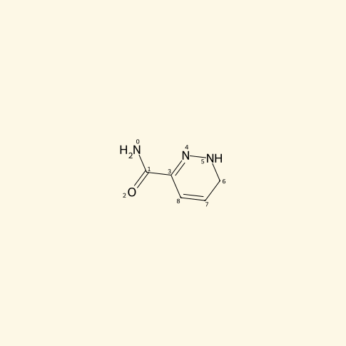 NC(=O)C1=NNCC=C1